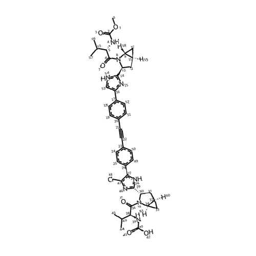 COC(=O)N[C@H](C(=O)N1[C@@H]2C[C@H]2C[C@H]1c1nc(-c2ccc(C#Cc3ccc(-c4[nH]c([C@@H]5C[C@H]6C[C@H]6N5C(=O)[C@@H](NC(=O)O)C(C)C)nc4Cl)cc3)cc2)c[nH]1)C(C)C